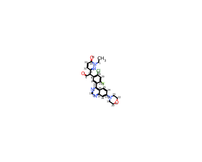 CCn1nc(C(C=O)c2cc(-c3ncnc4cc(N5CCOCC5)ccc34)c(F)cc2Cl)ccc1=O